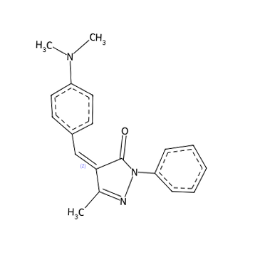 CC1=NN(c2ccccc2)C(=O)/C1=C\c1ccc(N(C)C)cc1